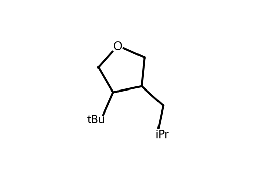 CC(C)CC1COCC1C(C)(C)C